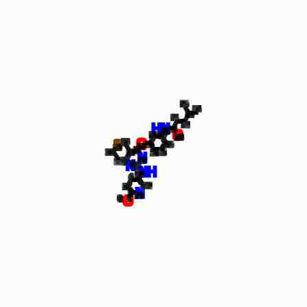 COc1ccc(Nc2nc3c(c(Oc4cccc(NC(=O)/C=C/C(C)C)c4)n2)CSCC3)cn1